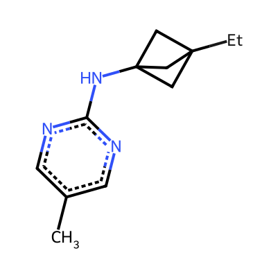 CCC12CC(Nc3ncc(C)cn3)(C1)C2